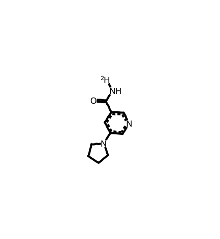 [2H]NC(=O)c1cncc(N2CCCC2)c1